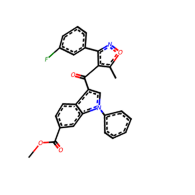 COC(=O)c1ccc2c(C(=O)c3c(-c4cccc(F)c4)noc3C)cn(-c3ccccc3)c2c1